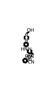 N#Cc1ccccc1S(=O)(=O)n1ncc2cnc(Nc3ccc(N4CCN(CCO)CC4)cc3)cc21